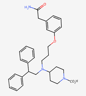 NC(=O)Cc1cccc(OCCCN(CC(c2ccccc2)c2ccccc2)C2CCN(C(=O)O)CC2)c1